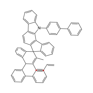 C=C/C=C\C1=C(C)C2(c3ccccc3-c3c2ccc2c4ccccc4n(-c4ccc(-c5ccccc5)cc4)c32)c2ccccc2C1c1ccccc1-c1ccccc1